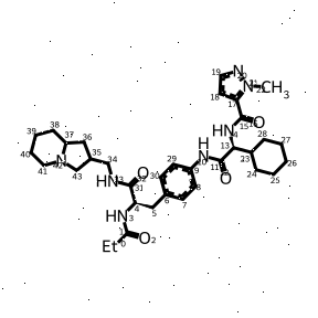 CCC(=O)N[C@H](Cc1ccc(NC(=O)[C@@H](NC(=O)c2ccnn2C)C2CCCCC2)cc1)C(=O)NCC1CC2CCCCN2C1